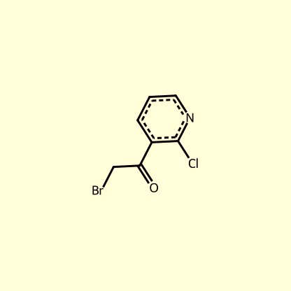 O=C(CBr)c1cccnc1Cl